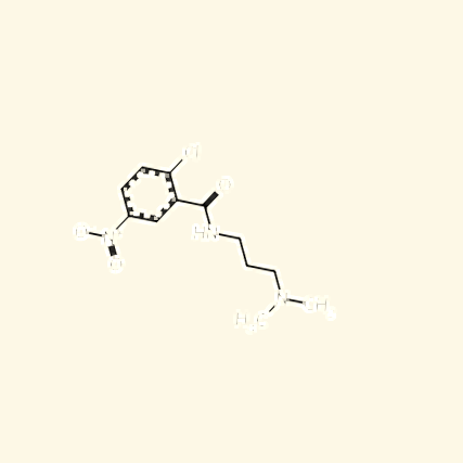 CN(C)CCCNC(=O)c1cc([N+](=O)[O-])ccc1Cl